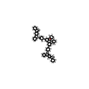 O=S12(c3ccccc3-c3cc(-c4ccc(-n5c6ccccc6c6cc7c(cc65)sc5ccccc57)cc4)ccc31)c1ccccc1-c1cc(-c3ccc(-n4c5ccccc5c5cc6c(cc54)sc4ccccc46)cc3)ccc12